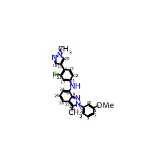 COc1cccc(-n2nc3c(Nc4ccc(-c5cnn(C)c5)c(F)c4)cccc3c2C)c1